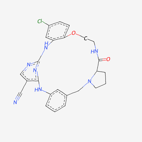 N#Cc1cnc2nc1Nc1cccc(c1)CN1CCCC1C(=O)NCCOc1ccc(Cl)cc1N2